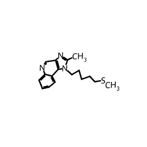 CSCCCCCn1c(C)nc2cnc3ccccc3c21